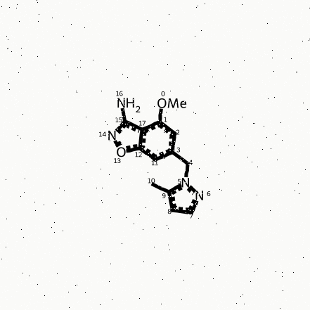 COc1cc(Cn2nccc2C)cc2onc(N)c12